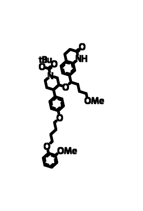 COCCCC(OC1CN(C(=O)OC(C)(C)C)CCC1c1ccc(OCCCCOc2ccccc2OC)cc1)c1ccc2c(c1)NC(=O)CC2